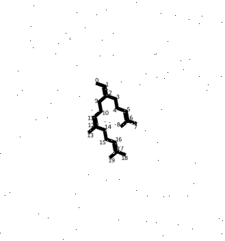 CC=C(CCC=C(C)C)CCC=C(C)CCC=C(C)C